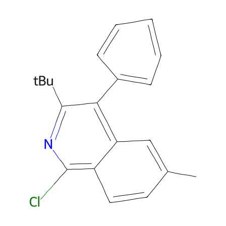 Cc1ccc2c(Cl)nc(C(C)(C)C)c(-c3ccccc3)c2c1